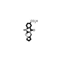 Cn1c(=O)n(Cc2cccs2)c(=O)c2cc(C(=O)O)ccc21